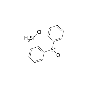 [O-][S+](c1ccccc1)c1ccccc1.[SiH3]Cl